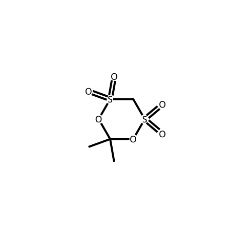 CC1(C)OS(=O)(=O)CS(=O)(=O)O1